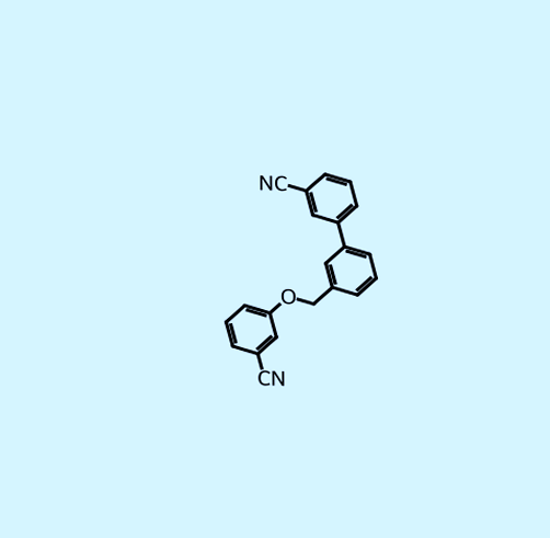 N#Cc1cccc(OCc2cccc(-c3cccc(C#N)c3)c2)c1